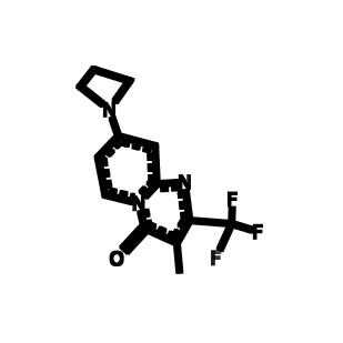 Cc1c(C(F)(F)F)nc2cc(N3CCC3)ccn2c1=O